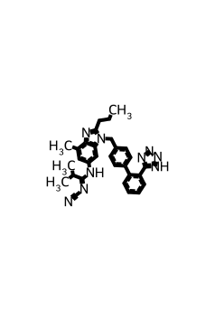 CCCc1nc2c(C)cc(N/C(=N/C#N)C(C)C)cc2n1Cc1ccc(-c2ccccc2-c2nnn[nH]2)cc1